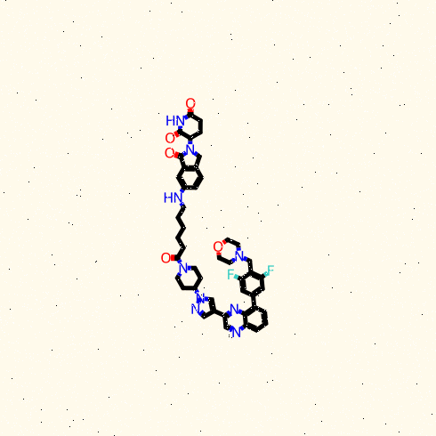 O=C1CCC(N2Cc3ccc(NCCCCCC(=O)N4CCC(n5cc(-c6cnc7cccc(-c8cc(F)c(CN9CCOCC9)c(F)c8)c7n6)cn5)CC4)cc3C2=O)C(=O)N1